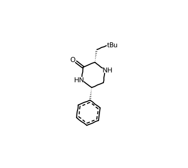 CC(C)(C)C[C@@H]1NC[C@H](c2ccccc2)NC1=O